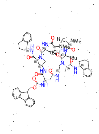 CN[C@@H](C)C(=O)N[C@H](C(=O)N1C[C@@H](NC(=O)C[C@H](NC(=O)OCC2c3ccccc3-c3ccccc32)C(=O)N[C@H]2C[C@@H](C(=O)N[C@@H]3CCCc4ccccc43)N(C(=O)[C@@H](NC(=O)[C@H](C)NC)C(C)(C)C)C2)C[C@H]1C(=O)N[C@@H]1CCCc2ccccc21)C(C)(C)C